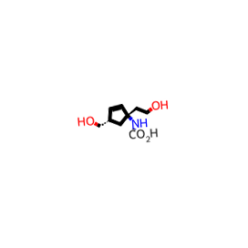 O=C(O)N[C@@]1(CCO)C=C[C@@H](CO)C1